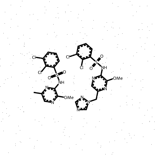 COc1nc(Cn2cncn2)cnc1NS(=O)(=O)c1cccc(Cl)c1Cl.COc1ncc(C)nc1NS(=O)(=O)c1cccc(Cl)c1Cl